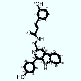 O=C(/C=C/c1cccc(O)c1)NCc1cc2c([nH]c3ccccc32)c(-c2ccc(O)cc2)n1